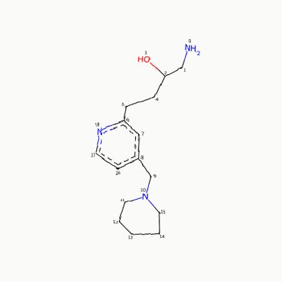 NCC(O)CCc1cc(CN2CCCCC2)ccn1